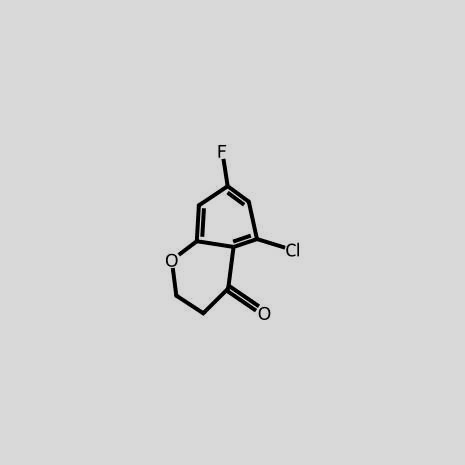 O=C1CCOc2cc(F)cc(Cl)c21